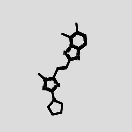 Cc1ccc2nc(C=Cc3nc(N4CCCC4)nn3C)nn2c1C